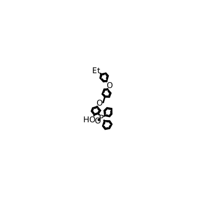 CCc1ccc(Oc2ccc(COc3ccc(O)c(P(=O)(c4ccccc4)c4ccccc4)c3)cc2)cc1